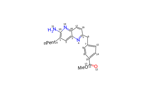 CCCCCc1cc2nc(Cc3ccc(C(=O)OC)cc3)ccc2nc1N